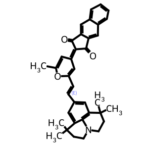 CC1=CC(=C2C(=O)c3cc4ccccc4cc3C2=O)C=C(/C=C/c2cc3c4c(c2)C(C)(C)CCN4CCC3(C)C)O1